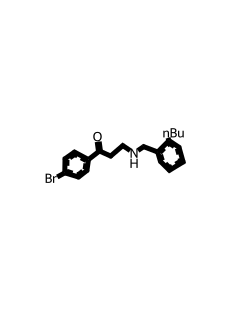 CCCCc1ccccc1CNCCC(=O)c1ccc(Br)cc1